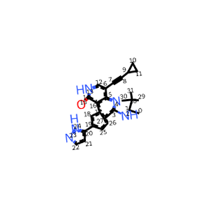 CC(Nc1nc2c(C#CC3CC3)c[nH]c(=O)c2c2cc(-c3ccn[nH]3)ccc12)C(C)(C)C